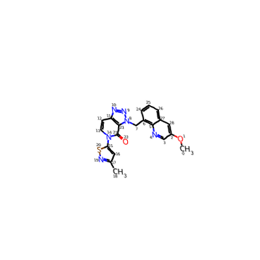 COc1cnc2c(Cn3nnc4ccn(-c5cc(C)ns5)c(=O)c43)cccc2c1